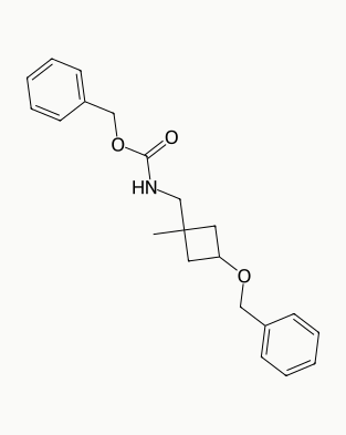 CC1(CNC(=O)OCc2ccccc2)CC(OCc2ccccc2)C1